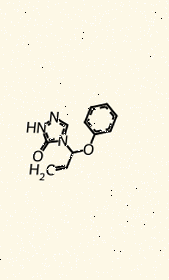 C=CC(Oc1ccccc1)n1cn[nH]c1=O